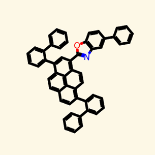 c1ccc(-c2ccc3oc(-c4cc(-c5ccccc5-c5ccccc5)c5ccc6ccc(-c7ccccc7-c7ccccc7)c7ccc4c5c67)nc3c2)cc1